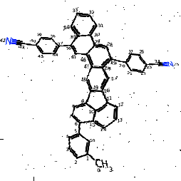 Cc1cccc(-c2ccc3c4c(cccc24)-c2cc4c(-c5ccc(C#N)cc5)cc5c6ccccc6c(-c6ccc(C#N)cc6)cc5c4cc2-3)c1